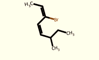 C/C=C(Br)\C=C/C(C)CC